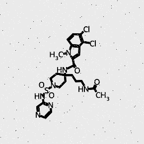 CC(=O)NCCCC1(NC(=O)c2cc3c(Cl)c(Cl)ccc3n2C)CCN(S(=O)(=O)Nc2cnccn2)CC1